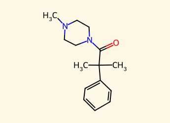 CN1CCN(C(=O)C(C)(C)c2ccccc2)CC1